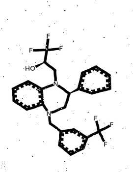 O[C@H](CN1c2ccccc2N(Cc2cccc(C(F)(F)F)c2)C[C@@H]1c1ccccc1)C(F)(F)F